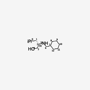 CC(C)C[C@@H](CO)NCC1CCCCC1